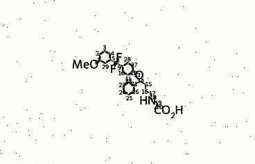 COc1cccc(C(F)(F)c2ccc(OC(CCCNCC(=O)O)c3ccccc3)cc2)c1